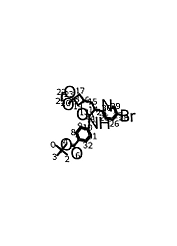 CC(C)(C)OC(=O)c1ccc(NC(=O)C(CC2CC3(C2)OCCO3)c2ccc(Br)cn2)cc1